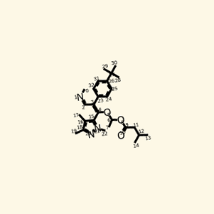 C/N=C\C(=C(\OC(C)OC(=O)CC(C)C)c1c(C)c(C)nn1C)c1ccc(C(C)(C)C)cc1